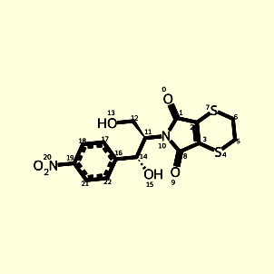 O=C1C2=C(SCCS2)C(=O)N1[C@H](CO)[C@H](O)c1ccc([N+](=O)[O-])cc1